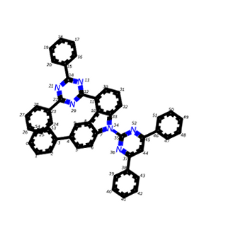 c1ccc(-c2ccc3c(c2)c2c(-c4nc(-c5ccccc5)nc(-c5ccccc5)n4)cccc2n3-c2nc(-c3ccccc3)cc(-c3ccccc3)n2)cc1